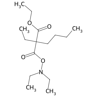 CCCCC(CC)(C(=O)OCC)C(=O)ON(CC)CC